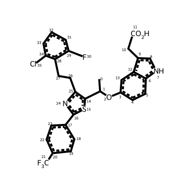 CC(Oc1ccc2[nH]cc(CC(=O)O)c2c1)c1sc(-c2ccc(C(F)(F)F)cc2)nc1CCc1c(F)cccc1Cl